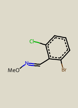 CO/N=C/c1c(Cl)cccc1Br